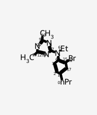 CCCc1ccc(N(CC)c2nc(C)nc(C)n2)c(Br)c1